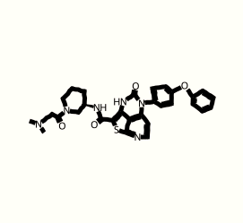 CN(C)CC(=O)N1CCC[C@@H](NC(=O)c2sc3nccc4c3c2NC(=O)N4c2ccc(Oc3ccccc3)cc2)C1